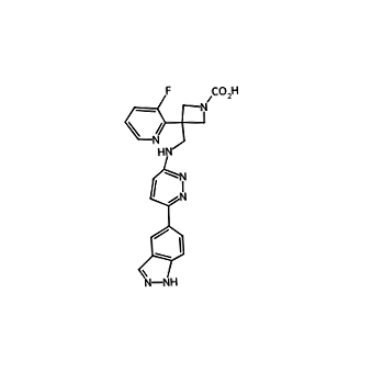 O=C(O)N1CC(CNc2ccc(-c3ccc4[nH]ncc4c3)nn2)(c2ncccc2F)C1